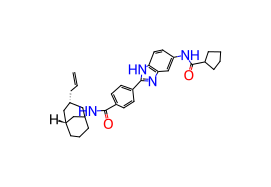 C=CC[C@H]1C[C@H]2CCCC(NC(=O)c3ccc(-c4nc5cc(NC(=O)C6CCCC6)ccc5[nH]4)cc3)(C2)C1